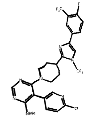 CNc1ncnc(N2CCC(c3nc(-c4ccc(F)c(C(F)(F)F)c4)cn3C)CC2)c1-c1ccc(Cl)nc1